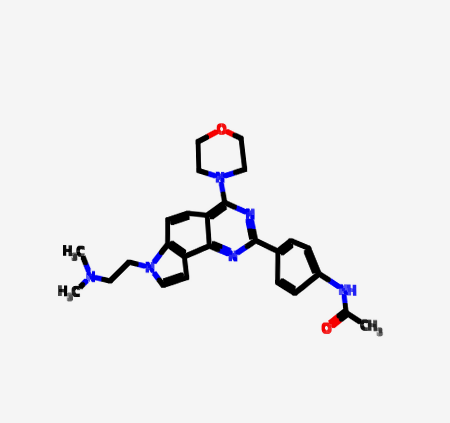 CC(=O)Nc1ccc(-c2nc(N3CCOCC3)c3ccc4c(ccn4CCN(C)C)c3n2)cc1